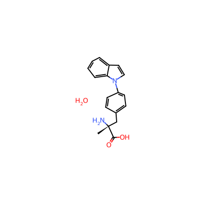 C[C@@](N)(Cc1ccc(-n2ccc3ccccc32)cc1)C(=O)O.O